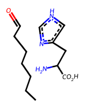 CCCCCCC=O.NC(Cc1c[nH]cn1)C(=O)O